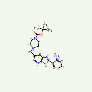 CC(C)(C)OC(=O)N1CCN(Cc2cnc3sc(C4=CCCC=C4N)nc3c2)CC1